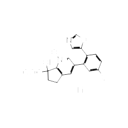 O=C([O-])C1(O)CCc2cc(-c3cc(Cl)ccc3-c3cnco3)c[n+]([O-])c21.[Li+]